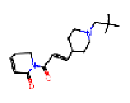 CC(C)(C)CN1CCC(C=CC(=O)N2CCC=CC2=O)CC1